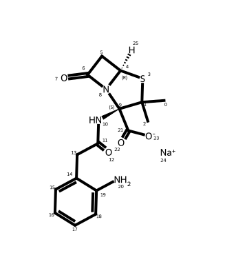 CC1(C)S[C@@H]2CC(=O)N2[C@@]1(NC(=O)Cc1ccccc1N)C(=O)[O-].[Na+]